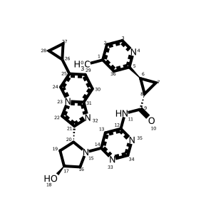 Cc1ccnc([C@H]2C[C@@H]2C(=O)Nc2cc(N3C[C@@H](O)C[C@@H]3c3cn4cc(C5CC5)ccc4n3)ncn2)c1